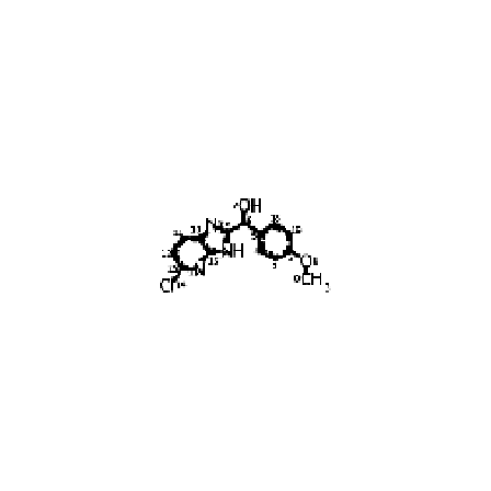 COc1ccc(C(O)c2nc3ccc(Cl)nc3[nH]2)cc1